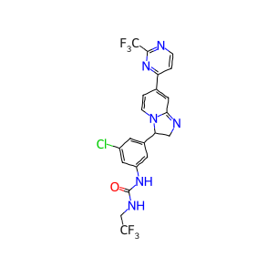 O=C(NCC(F)(F)F)Nc1cc(Cl)cc(C2CN=C3C=C(c4ccnc(C(F)(F)F)n4)C=CN32)c1